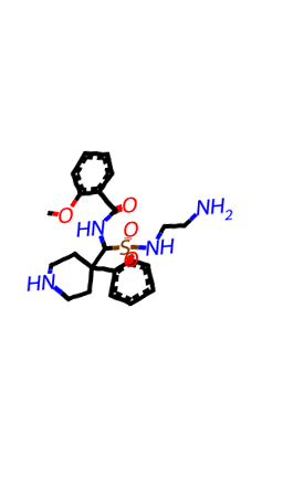 COc1ccccc1C(=O)NC(C1(c2ccccc2)CCNCC1)S(=O)(=O)NCCN